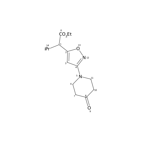 CCOC(=O)C(c1cc(N2CCC(=O)CC2)no1)C(C)C